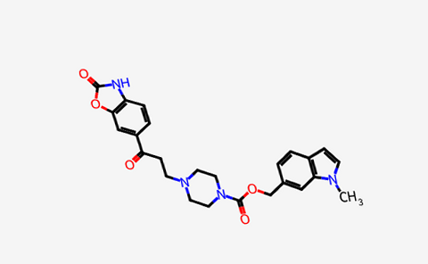 Cn1ccc2ccc(COC(=O)N3CCN(CCC(=O)c4ccc5[nH]c(=O)oc5c4)CC3)cc21